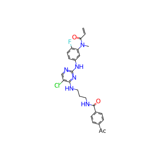 C=CC(=O)N(C)c1cc(Nc2ncc(Cl)c(NCCCNC(=O)c3ccc(C(C)=O)cc3)n2)ccc1F